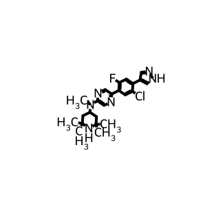 CN(c1cnc(-c2cc(Cl)c(-c3cn[nH]c3)cc2F)cn1)C1CC(C)(C)NC(C)(C)C1